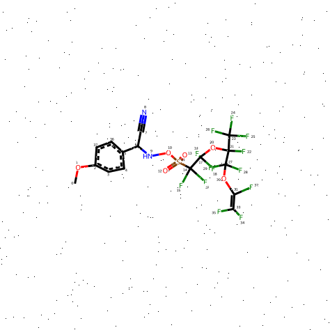 COc1ccc(C(C#N)NOS(=O)(=O)C(F)(F)C(F)(F)OC(F)(C(F)(F)F)C(F)(F)OC(F)=C(F)F)cc1